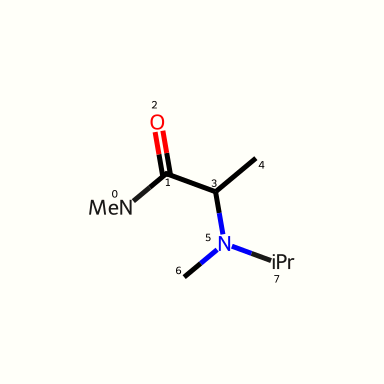 CNC(=O)C(C)N(C)C(C)C